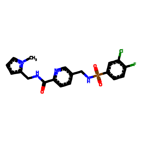 Cn1cccc1CNC(=O)c1ccc(CNS(=O)(=O)c2ccc(F)c(Cl)c2)cn1